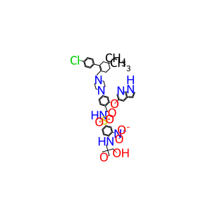 CC1(C)CCC(CN2CCN(c3ccc(C(=O)NS(=O)(=O)c4ccc(NCC5(CO)COC5)c([N+](=O)[O-])c4)c(Oc4cnc5[nH]ccc5c4)c3)CC2)=C(c2ccc(Cl)cc2)C1